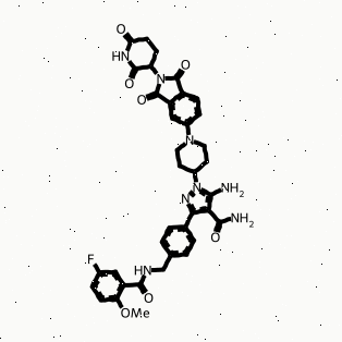 COc1ccc(F)cc1C(=O)NCc1ccc(-c2nn(C3CCN(c4ccc5c(c4)C(=O)N(C4CCC(=O)NC4=O)C5=O)CC3)c(N)c2C(N)=O)cc1